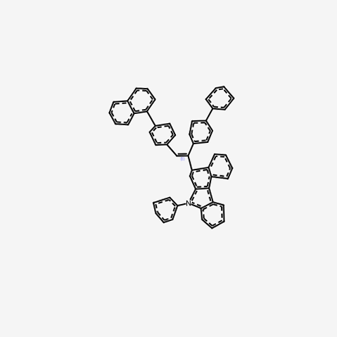 C(=C(/c1ccc(-c2ccccc2)cc1)c1cc2c(c3ccccc13)c1ccccc1n2-c1ccccc1)/c1ccc(-c2cccc3ccccc23)cc1